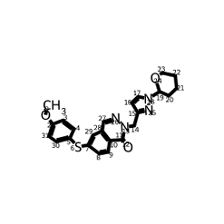 COc1ccc(Sc2ccc3c(=O)n(Cc4ccn(C5CCCCO5)n4)ncc3c2)cc1